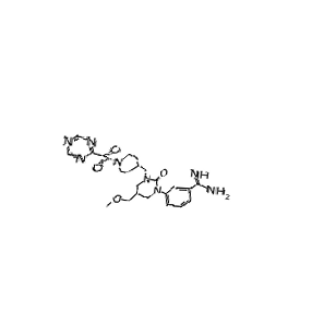 COCC1CN(CC2CCN(S(=O)(=O)c3ncncn3)CC2)C(=O)N(c2cccc(C(=N)N)c2)C1